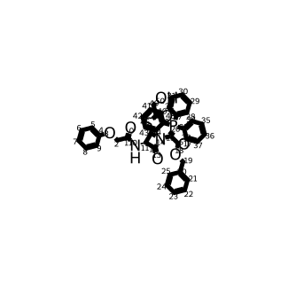 O=C(COc1ccccc1)N[C@H]1C(=O)N(C(C(=O)OCc2ccccc2)=P(c2ccccc2)(c2ccccc2)c2ccccc2)[C@H]1SC(=O)CO